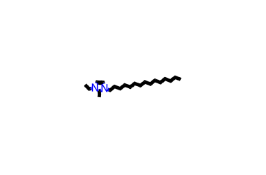 CCCCCCCCCCCCCCCN1C=CN(CC)C1C